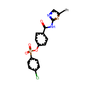 CC(C)c1cnc(NC(=O)c2ccc(OS(=O)(=O)c3ccc(Cl)cc3)cc2)s1